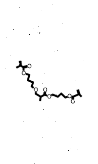 C=C(C)C(=O)OCCCCOCC(C)C(=O)OCCCCOC(=O)C(=C)C